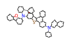 c1ccc(-c2ccccc2N(c2ccc3c(c2)sc2c4ccc(N(c5ccccc5)c5ccc6ccccc6c5)cc4c4ccccc4c32)c2cccc3c2oc2ccccc23)cc1